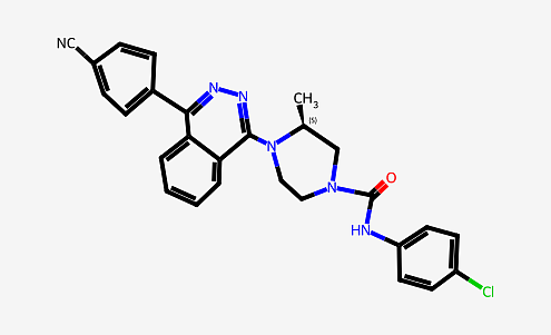 C[C@H]1CN(C(=O)Nc2ccc(Cl)cc2)CCN1c1nnc(-c2ccc(C#N)cc2)c2ccccc12